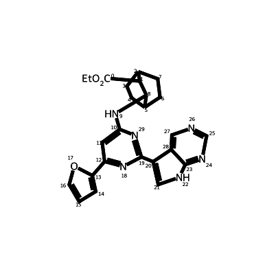 CCOC(=O)C1C2CCC(CC2)C1Nc1cc(-c2ccco2)nc(-c2c[nH]c3ncncc23)n1